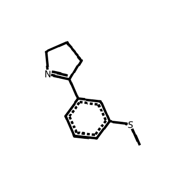 CSc1cccc(C2=NCCC2)c1